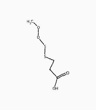 COOSSCCC(=O)O